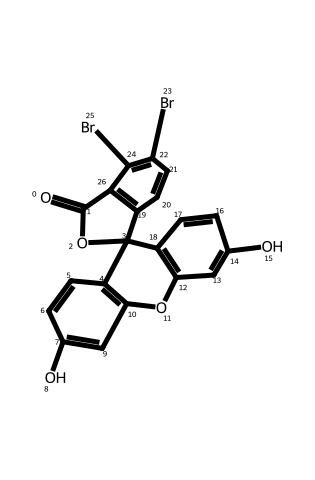 O=C1OC2(c3ccc(O)cc3Oc3cc(O)ccc32)c2ccc(Br)c(Br)c21